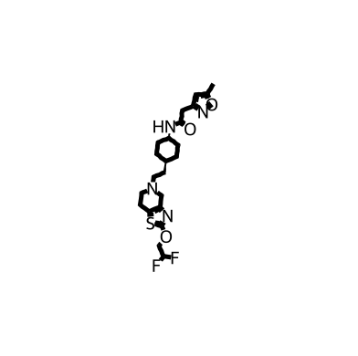 Cc1cc(CC(=O)N[C@H]2CC[C@H](CCN3CCc4sc(OCC(F)F)nc4C3)CC2)no1